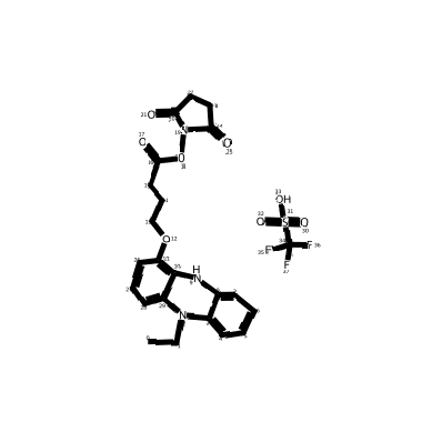 CCN1c2ccccc2Nc2c(OCCCC(=O)ON3C(=O)CCC3=O)cccc21.O=S(=O)(O)C(F)(F)F